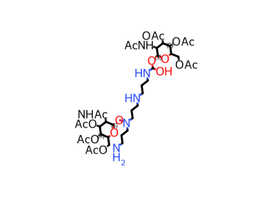 CC(=O)NC1C(OC(C)=O)[C@@H](OC(C)=O)C(COC(C)=O)O[C@H]1OC(O)NCCCNCCCN(CCCN)O[C@@H]1OC(COC(C)=O)[C@H](OC(C)=O)C(OC(C)=O)C1NC(C)=O